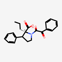 CCC[C@@]1(C(=O)O)C(c2ccccc2)CCN1C(=O)C(=O)c1ccccc1